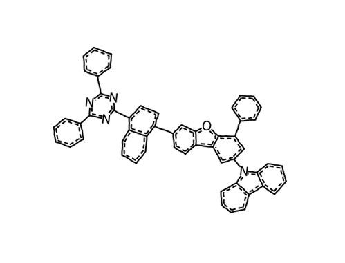 c1ccc(-c2nc(-c3ccccc3)nc(-c3ccc(-c4ccc5c(c4)oc4c(-c6ccccc6)cc(-n6c7ccccc7c7ccccc76)cc45)c4ccccc34)n2)cc1